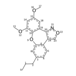 CCCc1ccc2c(c1)Oc1c(OC)cc(OC)cc1-c1nocc1-2